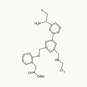 COC(=O)Cc1ccccc1OCc1cc(CNCC(F)(F)F)cc(-c2cccc(C(N)CF)c2)c1